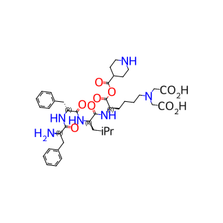 CC(C)C[C@@H](NC(=O)[C@@H](Cc1ccccc1)NC(=O)[C@H](N)Cc1ccccc1)C(=O)N[C@H](CCCCN(CC(=O)O)CC(=O)O)C(=O)OC(=O)C1CCNCC1